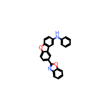 c1ccc(Nc2ccc3oc4ccc(-c5nc6ccccc6o5)cc4c3c2)cc1